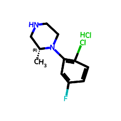 C[C@@H]1CNCCN1c1cc(F)ccc1Cl.Cl